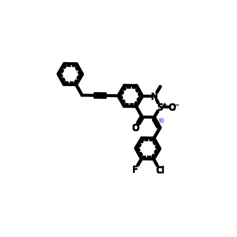 CN1c2ccc(C#CCc3ccccc3)cc2C(=O)/C(=C\c2ccc(F)c(Cl)c2)[S+]1[O-]